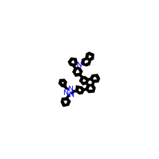 c1ccc(-c2nc(-c3ccccc3)nc(-c3ccc(-c4cccc5c6ccccc6c6cc(-c7ccc8c9ccccc9n(-c9ccc%10ccccc%10c9)c8c7)ccc6c45)cc3)n2)cc1